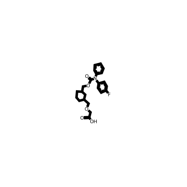 O=C(O)COCC1CCCC(COC(=O)N(c2ccccc2)c2ccc(F)cc2)C1